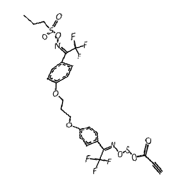 C#CC(=O)OSON=C(c1ccc(OCCCOc2ccc(C(=NOS(=O)(=O)CCC)C(F)(F)F)cc2)cc1)C(F)(F)F